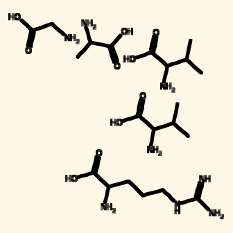 CC(C)C(N)C(=O)O.CC(C)C(N)C(=O)O.CC(N)C(=O)O.N=C(N)NCCCC(N)C(=O)O.NCC(=O)O